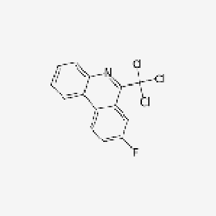 Fc1ccc2c(c1)c(C(Cl)(Cl)Cl)nc1ccccc12